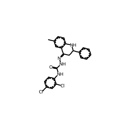 Cc1ccc2c(c1)C(=NNC(=O)Nc1ccc(Cl)cc1Cl)CC(c1ccccc1)N2